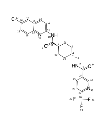 O=C(NC[C@H]1CC[C@H](C(=O)Nc2ccc3cc(Cl)ccc3n2)CC1)c1ccc(C(F)(F)F)nc1